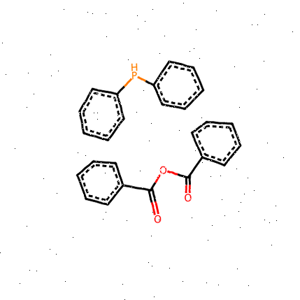 O=C(OC(=O)c1ccccc1)c1ccccc1.c1ccc(Pc2ccccc2)cc1